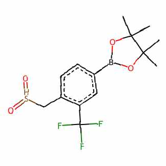 CC1(C)OB(c2ccc(C[SH](=O)=O)c(C(F)(F)F)c2)OC1(C)C